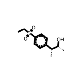 CCS(=O)(=O)c1ccc([C@@H](C)[C@@H](C)O)cc1